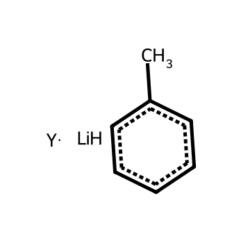 Cc1ccccc1.[LiH].[Y]